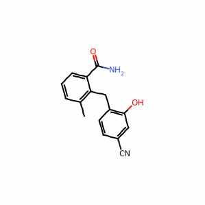 Cc1cccc(C(N)=O)c1Cc1ccc(C#N)cc1O